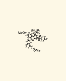 COCCCN1CCOc2ccc(CO[C@H]3CN(S(=O)(=O)c4ccc(C)cc4)C[C@@H](O[Si](C(C)C)(C(C)C)C(C)C)[C@@H]3c3ccc(CCOC)cc3)cc21